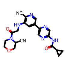 N#Cc1ncc(-c2cnc(NC(=O)C3CC3)cn2)cc1NCC(=O)N1CCOCC1C#N